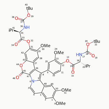 COc1cc2ccn3c(c(-c4ccc(OC(=O)[C@H](NC(=O)OC(C)(C)C)C(C)C)c(OC)c4)c4c5cc(OC)c(OC(=O)[C@H](NC(=O)OC(C)(C)C)C(C)C)cc5oc(=O)c43)c2cc1OC